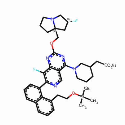 CCOC(=O)CC1CCCN(c2nc(OC[C@@]34CCCN3C[C@H](F)C4)nc3c(F)c(-c4cccc5cccc(CCO[Si](C)(C)C(C)(C)C)c45)ncc23)C1